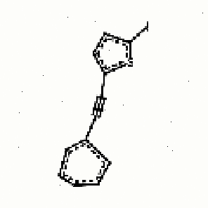 Ic1ccc(C#Cc2ccccc2)s1